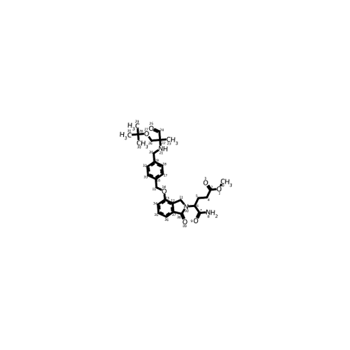 COC(=O)CCC(C(N)=O)N1Cc2c(OCc3ccc(CNC(C)(C=O)COC(C)(C)C)cc3)cccc2C1=O